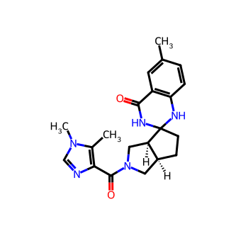 Cc1ccc2c(c1)C(=O)NC1(CC[C@H]3CN(C(=O)c4ncn(C)c4C)C[C@H]31)N2